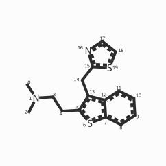 CN(C)CCc1sc2ccccc2c1Cc1nccs1